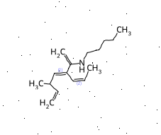 C=CC(C)/C=C(\C=C/C)C(=C)NCCCCC